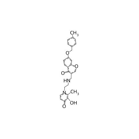 Cc1ccc(COc2ccc3c(=O)c(CNCCn4ccc(=O)c(O)c4C)coc3c2)cc1